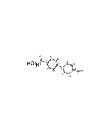 CC(=NO)c1ccc(-c2ccc(F)cc2)cc1